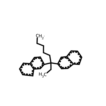 [CH2]CCCCC(CC)(c1ccc2ccccc2c1)c1ccc2ccccc2c1